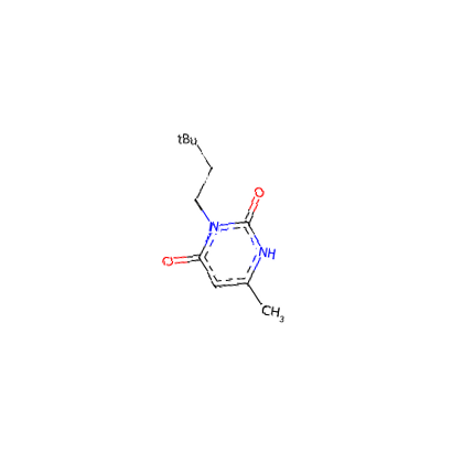 Cc1cc(=O)n(CCC(C)(C)C)c(=O)[nH]1